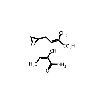 CC(=CCC1CO1)C(=O)O.CC=C(C)C(N)=O